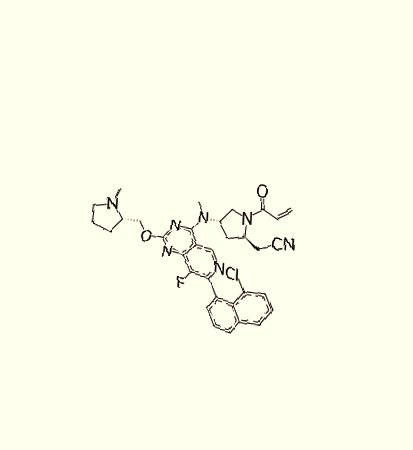 C=CC(=O)N1C[C@@H](N(C)c2nc(OC[C@@H]3CCCN3C)nc3c(F)c(-c4cccc5cccc(Cl)c45)ncc23)C[C@@H]1CC#N